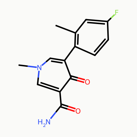 Cc1cc(F)ccc1-c1cn(C)cc(C(N)=O)c1=O